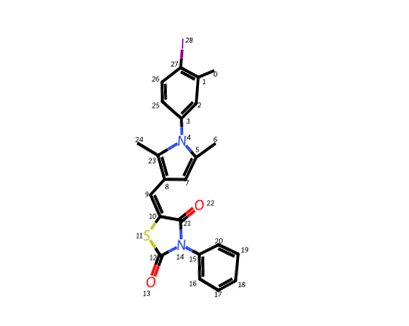 Cc1cc(-n2c(C)cc(/C=C3/SC(=O)N(c4ccccc4)C3=O)c2C)ccc1I